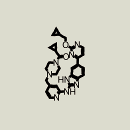 O=C(C1CC1)N1CCN(Cc2ccnc(Nc3nc4ccc(-c5ccnc(OCC6CC6)n5)cc4[nH]3)c2)CC1